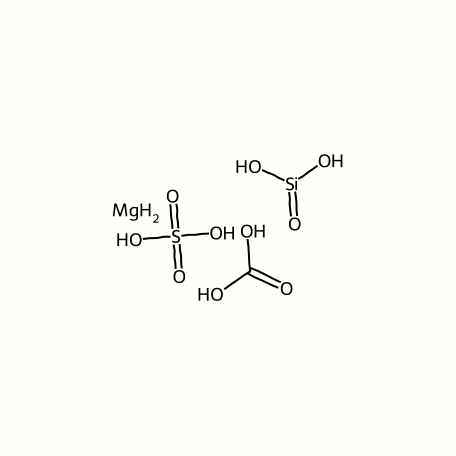 O=C(O)O.O=S(=O)(O)O.O=[Si](O)O.[MgH2]